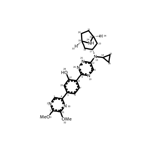 COc1ncc(-c2ccc(-c3ncc(N(C4CC4)[C@@H]4C[C@H]5CC[C@@H](C4)N5)nn3)c(O)c2)nc1OC